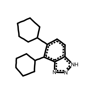 c1cc2[nH]nnc2c(C2CCCCC2)c1C1CCCCC1